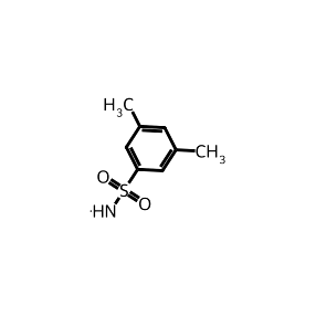 Cc1cc(C)cc(S([NH])(=O)=O)c1